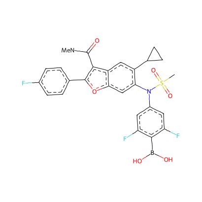 CNC(=O)c1c(-c2ccc(F)cc2)oc2cc(N(c3cc(F)c(B(O)O)c(F)c3)S(C)(=O)=O)c(C3CC3)cc12